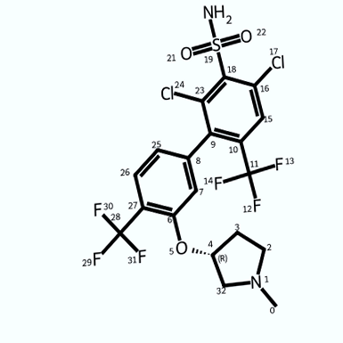 CN1CC[C@@H](Oc2cc(-c3c(C(F)(F)F)cc(Cl)c(S(N)(=O)=O)c3Cl)ccc2C(F)(F)F)C1